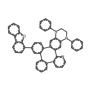 c1ccc(N2CCN(c3ccccc3)c3cc4c(cc32)-c2ccc(-c3cccc5c3oc3ccccc35)cc2-c2ccccc2-c2cccnc2-4)cc1